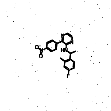 Cc1cc(F)ccc1C(C)Nc1nccnc1-c1ccc([N+](=O)[O-])cc1